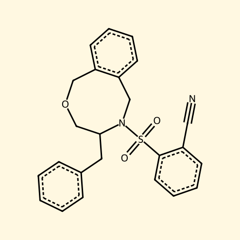 N#Cc1ccccc1S(=O)(=O)N1Cc2ccccc2COCC1Cc1ccccc1